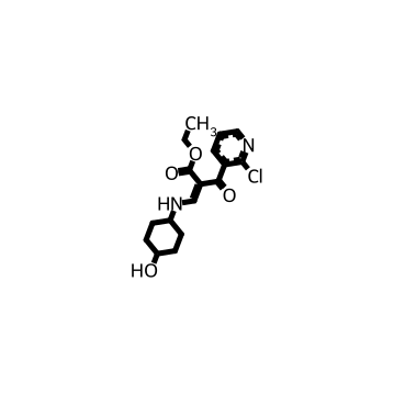 CCOC(=O)C(=CNC1CCC(O)CC1)C(=O)c1cccnc1Cl